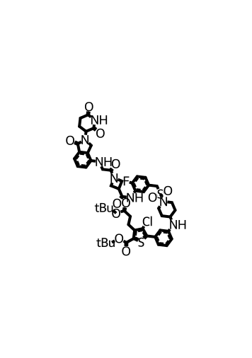 CC(C)(C)OC(=O)CCc1c(C(=O)OC(C)(C)C)sc(-c2cccc(NC3CCN(S(=O)(=O)Cc4ccc(F)c(NC(=O)C5CN(C(=O)CNc6cccc7c6CN(C6CCC(=O)NC6=O)C7=O)C5)c4)CC3)c2)c1Cl